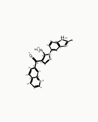 Cc1nc2cc(-n3ncc(C(=O)c4ccc5cccnc5c4)c3N)ccc2[nH]1